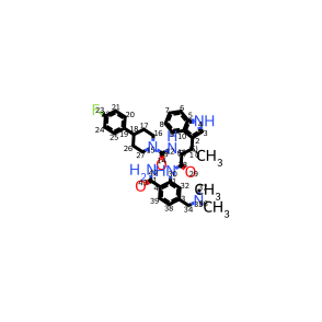 C[C@@H](c1c[nH]c2ccccc12)[C@@H](NC(=O)N1CCC(c2ccc(F)cc2)CC1)C(=O)Nc1cc(CN(C)C)ccc1C(N)=O